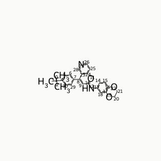 CC(C)(C)c1ccc(/C(=C/C(=O)Nc2ccc3c(c2)OCCO3)c2cccnc2)cc1